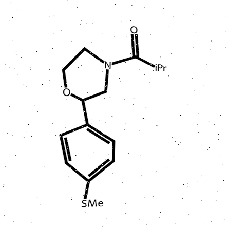 CSc1ccc(C2CN(C(=O)C(C)C)CCO2)cc1